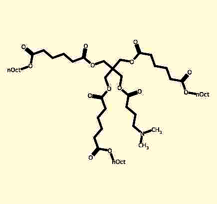 CCCCCCCCOC(=O)CCCCC(=O)OCC(COC(=O)CCCCC(=O)OCCCCCCCC)(COC(=O)CCCCC(=O)OCCCCCCCC)COC(=O)CCCN(C)C